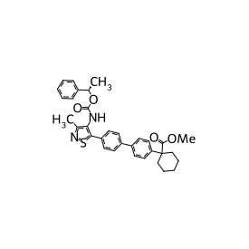 COC(=O)C1(c2ccc(-c3ccc(-c4snc(C)c4NC(=O)O[C@H](C)c4ccccc4)cc3)cc2)CCCCC1